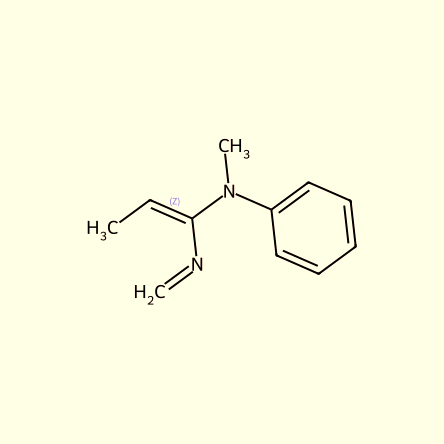 C=N/C(=C\C)N(C)c1ccccc1